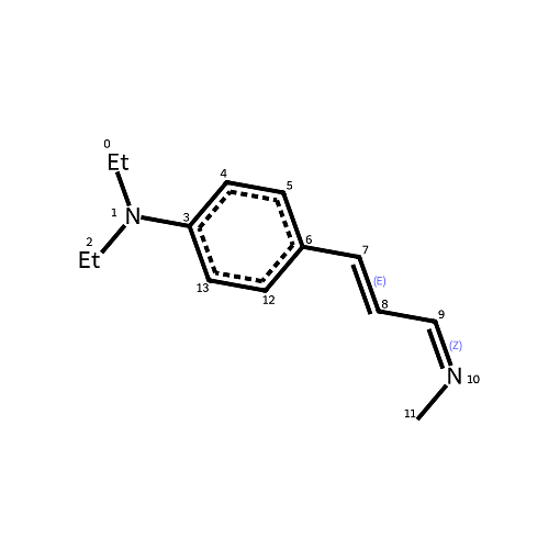 CCN(CC)c1ccc(/C=C/C=N\C)cc1